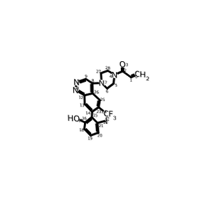 C=CC(=O)N1CCN(c2cnnc3cc(-c4c(O)cccc4F)c(C(F)(F)F)cc23)CC1